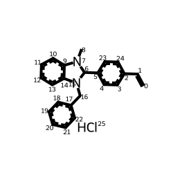 C=Cc1ccc(C2N(C)c3ccccc3N2Cc2ccccc2)cc1.Cl